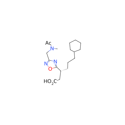 CC(=O)N(C)Cc1noc([C@H](CCCC2CCCCC2)CC(=O)O)n1